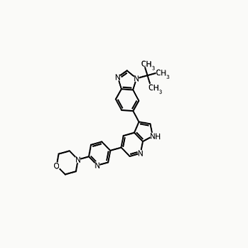 CC(C)(C)n1cnc2ccc(-c3c[nH]c4ncc(-c5ccc(N6CCOCC6)nc5)cc34)cc21